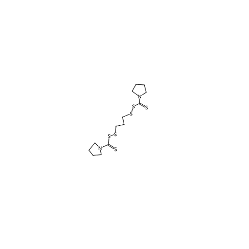 S=C(SSCCCSSC(=S)N1CCCC1)N1CCCC1